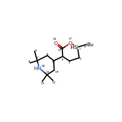 CCC(C)[SiH]1CCC(C2CC(C)(C)NC(C)(C)C2)C(=O)O1